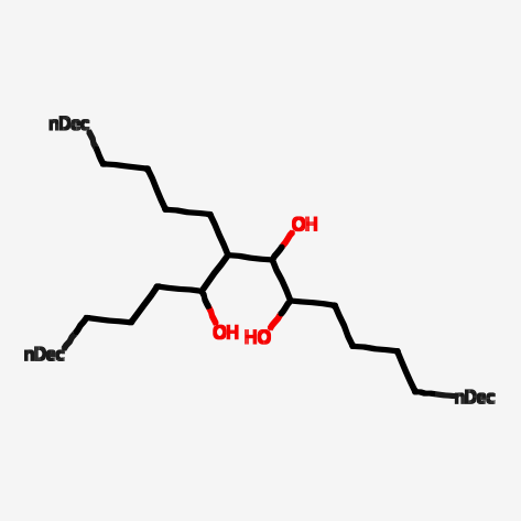 CCCCCCCCCCCCCCC(O)C(O)C(CCCCCCCCCCCCCC)C(O)CCCCCCCCCCCCC